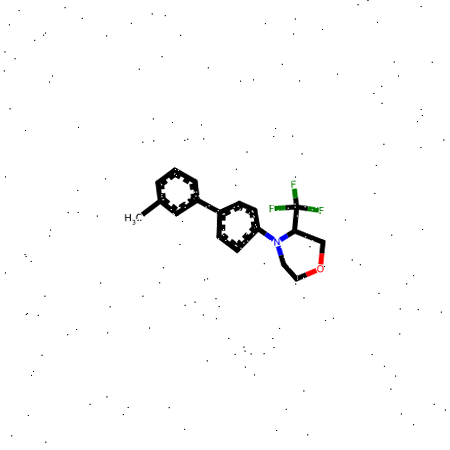 Cc1cccc(-c2ccc(N3CCOCC3C(F)(F)F)cc2)c1